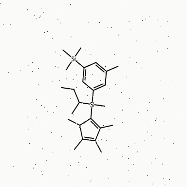 CCC(C)[Si](C)(C1=C(C)C(C)=C(C)C1C)c1cc(C)cc([Si](C)(C)C)c1